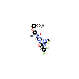 COC(=O)C1=C(CN2CCN3C(=O)N(c4ccc(Oc5cc(C(=O)O)ccc5F)cc4C#N)C[C@@H]3C2)NC(c2nccs2)=N[C@H]1c1ccc(F)cc1Cl